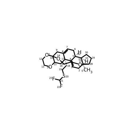 C[C@@]12CC=C3[C@H]4CC=C5CC6(OCCOC6C[C@@]53CCSC(F)F)OCCOC1CC[C@H]42